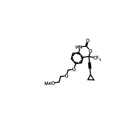 COCCOCOc1ccc2c(c1)C(C#CC1CC1)(C(F)(F)F)OC(=O)N2